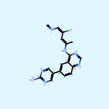 C=N/C=C(Cl)\C=C(/C)Nc1ncnc2ccc(-c3cnc(N)nc3)cc12